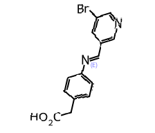 O=C(O)Cc1ccc(/N=C/c2cncc(Br)c2)cc1